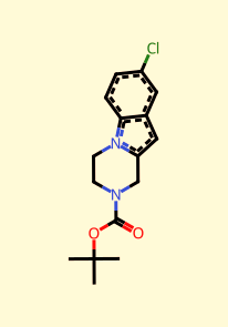 CC(C)(C)OC(=O)N1CCn2c(cc3cc(Cl)ccc32)C1